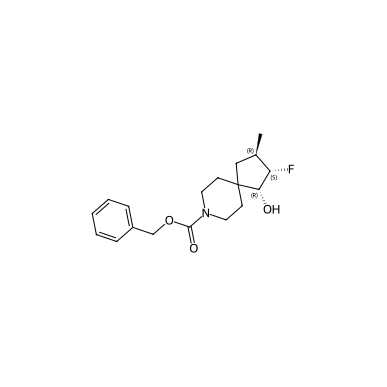 C[C@@H]1CC2(CCN(C(=O)OCc3ccccc3)CC2)[C@@H](O)[C@H]1F